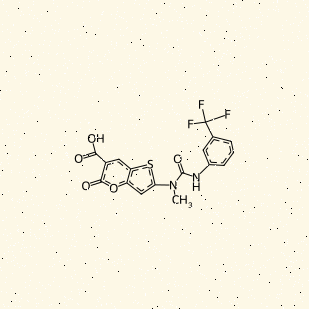 CN(C(=O)Nc1cccc(C(F)(F)F)c1)c1cc2oc(=O)c(C(=O)O)cc2s1